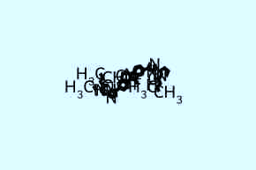 CCCN(Cc1ncc(-c2ccc3c(c2)OCn2c-3c(F)c3cc(-c4cnc([C@@H]5CCCN5C(=O)CC(C)C)[nH]4)ccc32)[nH]1)C(=O)CC(C)C